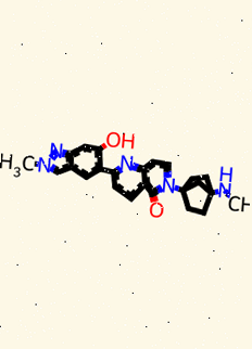 CNC12CCC(n3ccc4nc(-c5cc6cn(C)nc6cc5O)ccc4c3=O)(CC1)C2